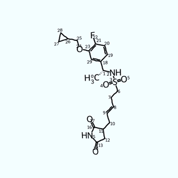 C[C@@H](NS(=O)(=O)CC/C=C/CC1CC(=O)NC1=O)c1ccc(F)c(OCC2CC2)c1